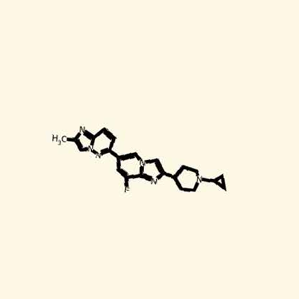 Cc1cn2nc(-c3cc(F)c4nc(C5CCN(C6CC6)CC5)cn4c3)ccc2n1